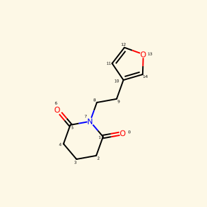 O=C1CCCC(=O)N1CCc1ccoc1